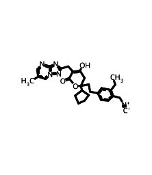 [C-]#[N+]Cc1ccc(CCC2(C3CCCC3)CC(O)=C(Cc3nc4ncc(C)cn4n3)C(=O)O2)cc1CC